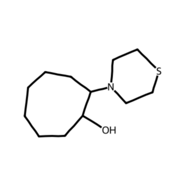 OC1CCCCCCC1N1CCSCC1